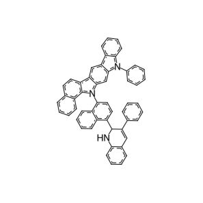 C1=C(c2ccccc2)C(c2ccc(-n3c4cc5c(cc4c4ccc6ccccc6c43)c3ccccc3n5-c3ccccc3)c3ccccc23)Nc2ccccc21